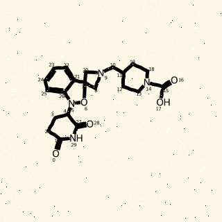 O=C1CCC(N2OC3(CN(CC4CCN(C(=O)O)CC4)C3)c3ccccc32)C(=O)N1